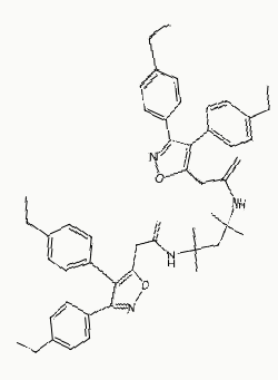 C=C(Cc1onc(-c2ccc(CC)cc2)c1-c1ccc(CC)cc1)NC(C)(C)CC(C)(C)NC(=C)Cc1onc(-c2ccc(CC)cc2)c1-c1ccc(CC)cc1